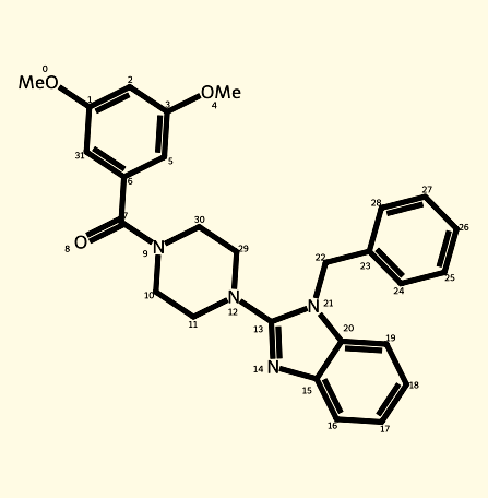 COc1cc(OC)cc(C(=O)N2CCN(c3nc4ccccc4n3Cc3ccccc3)CC2)c1